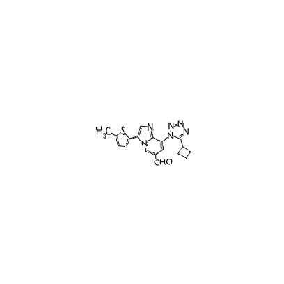 Cc1ccc(-c2cnc3c(-n4nnnc4C4CCC4)cc(C=O)cn23)s1